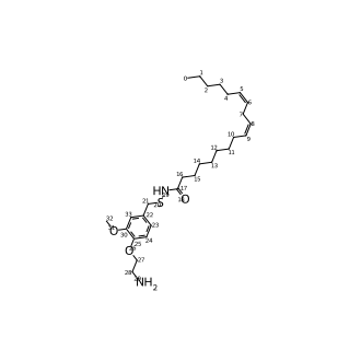 CCCCC/C=C\C/C=C\CCCCCCCC(=O)NSCc1ccc(OCCN)c(OC)c1